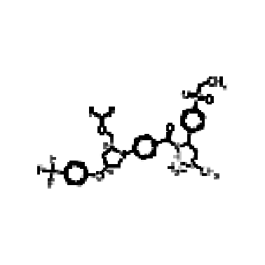 CCS(=O)(=O)c1ccc(C(CN(C)C)NC(=O)c2ccc(N3C[C@@H](Oc4ccc(C(F)(F)F)cc4)C[C@H]3COC(F)F)cc2)cc1